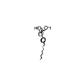 CCCCCCCCc1ccc(CCC(CO)(CO)N(C)Cl)cc1